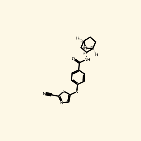 N#Cc1ncc(Sc2ccc(C(=O)N[C@@H]3C[C@H]4CC[C@@H]3N4)cc2)s1